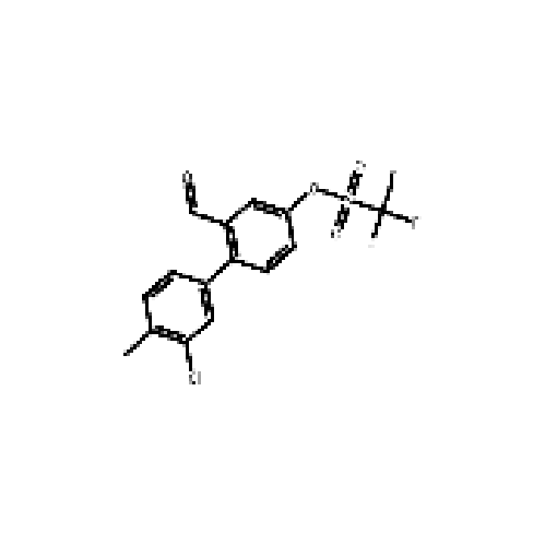 Cc1ccc(-c2ccc(OS(=O)(=O)C(F)(F)F)cc2C=O)cc1Cl